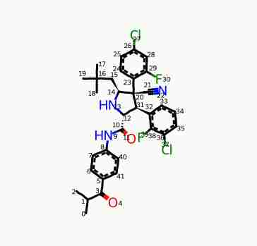 CC(C)C(=O)c1ccc(NC(=O)[C@@H]2N[C@@H](CC(C)(C)C)[C@](C#N)(c3ccc(Cl)cc3F)[C@H]2c2cccc(Cl)c2F)cc1